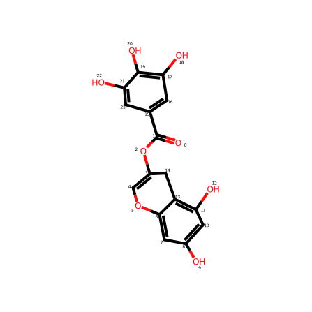 O=C(OC1=COc2cc(O)cc(O)c2C1)c1cc(O)c(O)c(O)c1